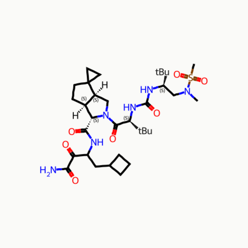 CN(C[C@@H](NC(=O)N[C@H](C(=O)N1C[C@H]2[C@H](CCC23CC3)[C@H]1C(=O)NC(CC1CCC1)C(=O)C(N)=O)C(C)(C)C)C(C)(C)C)S(C)(=O)=O